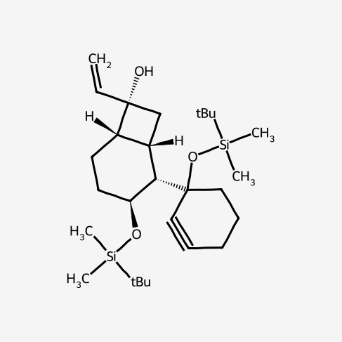 C=C[C@@]1(O)C[C@@H]2[C@H](C3(O[Si](C)(C)C(C)(C)C)C#CCCC3)[C@@H](O[Si](C)(C)C(C)(C)C)CC[C@@H]21